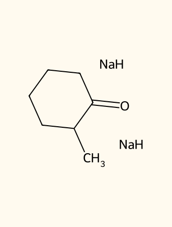 CC1CCCCC1=O.[NaH].[NaH]